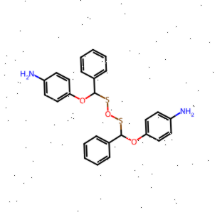 Nc1ccc(OC(SOSC(Oc2ccc(N)cc2)c2ccccc2)c2ccccc2)cc1